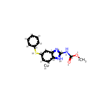 COC(=O)Nc1nc2cc(Sc3ccccc3)ccc2[nH]1.[Cu]